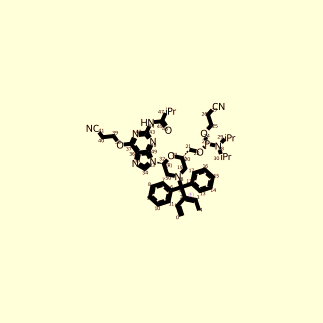 C=C/C(=C\C)C(c1ccccc1)(c1ccccc1)N1C[C@@H](COP(OCCC#N)N(C(C)C)C(C)C)O[C@@H](n2cnc3c(OCCC#N)nc(NC(=O)C(C)C)nc32)C1